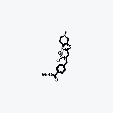 COC(=O)c1ccc(CN(Cc2nc3c(s2)CN(C)CC3)[SH](=O)=O)cc1